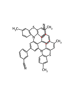 Cc1ccc2c(c1)Sc1cc(C)ccc1N2c1cc(-c2cccc(C#N)c2)cc(N2c3ccc(C)cc3Sc3cc(C)ccc32)c1-c1cccc(C#N)c1